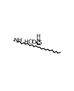 CCCCCCCCCCCCCCCCCCCCCCNC.Cl.O=c1ccs[nH]1